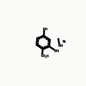 CO.O=C(O)c1ccc(O)cc1O.[Ni]